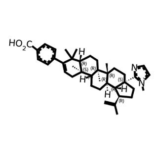 C=C(C)[C@@H]1CC[C@]2(c3nccn3C)CC[C@]3(C)[C@H](CC[C@@H]4[C@@]5(C)CC=C(c6ccc(C(=O)O)cc6)C(C)(C)[C@@H]5CC[C@]43C)[C@@H]12